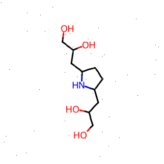 OCC(O)CC1CCC(CC(O)CO)N1